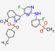 Cc1ccc(S(=O)(=O)n2cc(-c3nc(Nc4cccc(S(C)(=O)=O)c4F)ncc3F)c3cccc([N+](=O)[O-])c32)cc1